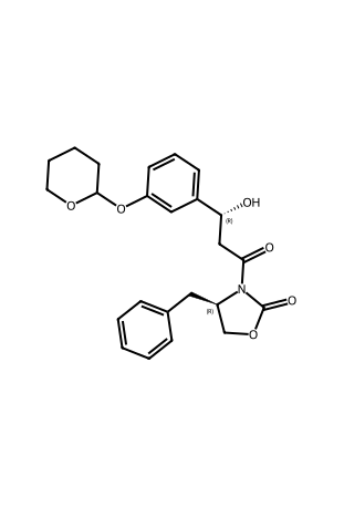 O=C(C[C@@H](O)c1cccc(OC2CCCCO2)c1)N1C(=O)OC[C@H]1Cc1ccccc1